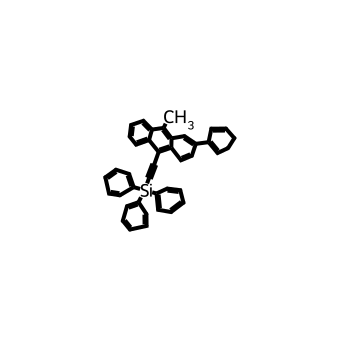 Cc1c2ccccc2c(C#C[Si](c2ccccc2)(c2ccccc2)c2ccccc2)c2ccc(C3=CCCC=C3)cc12